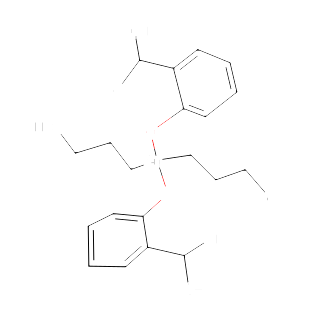 CCC[CH2][Sn]([CH2]CCC)([O]c1ccccc1C(C)C)[O]c1ccccc1C(C)C